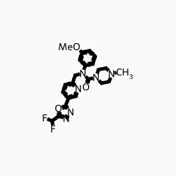 COc1cccc(N(Cc2ccc(-c3nnc(C(F)F)o3)cn2)C(=O)N2CCN(C)CC2)c1